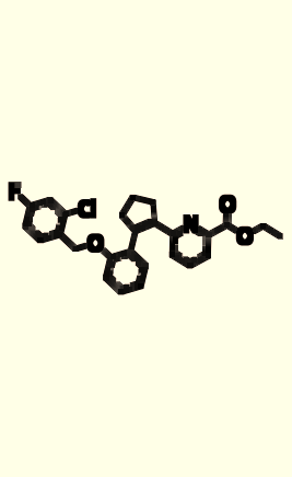 CCOC(=O)c1cccc(C2=C(c3ccccc3OCc3ccc(F)cc3Cl)CCC2)n1